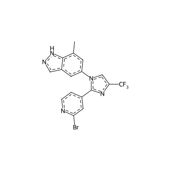 Cc1cc(-n2cc(C(F)(F)F)nc2-c2ccnc(Br)c2)cc2cn[nH]c12